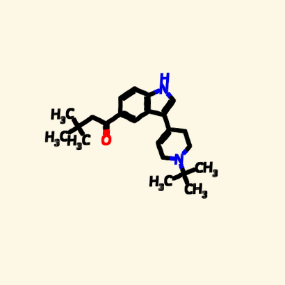 CC(C)(C)CC(=O)c1ccc2[nH]cc(C3=CCN(C(C)(C)C)CC3)c2c1